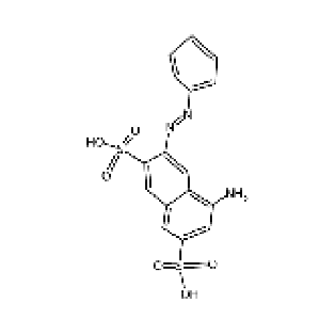 Nc1cc(S(=O)(=O)O)cc2cc(S(=O)(=O)O)c(N=Nc3ccccc3)cc12